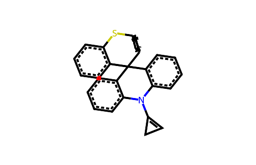 C1=C(N2c3ccccc3C3(c4ccccc4Sc4ccccc43)c3ccccc32)C1